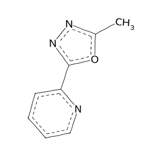 Cc1nnc(-c2ccccn2)o1